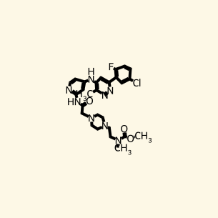 COC(=O)N(C)CCN1CCN(CC(=O)Nc2cc(Nc3cc(-c4cc(Cl)ccc4F)nnc3C)ccn2)CC1